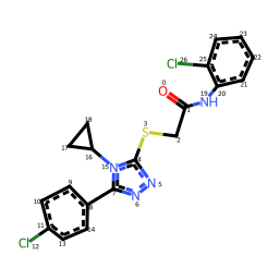 O=C(CSc1nnc(-c2ccc(Cl)cc2)n1C1CC1)Nc1ccccc1Cl